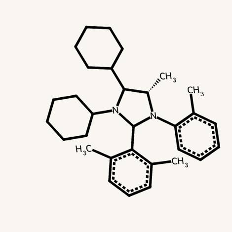 Cc1ccccc1N1C(c2c(C)cccc2C)N(C2CCCCC2)C(C2CCCCC2)[C@@H]1C